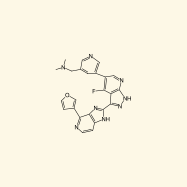 CN(C)Cc1cncc(-c2cnc3[nH]nc(-c4nc5c(-c6ccoc6)nccc5[nH]4)c3c2F)c1